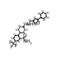 NC(=O)c1cc(C(F)(F)F)ccc1C1CCC(CNCc2cc(-c3ccccc3)on2)CC1